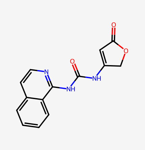 O=C(NC1=CC(=O)OC1)Nc1nccc2ccccc12